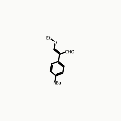 CCCCc1ccc(/C(C=O)=C/OCC)cc1